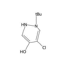 CC(C)(C)N1C=C(Cl)C(O)=CN1